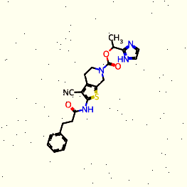 CC(OC(=O)N1CCc2c(sc(NC(=O)CCc3ccccc3)c2C#N)C1)c1ncc[nH]1